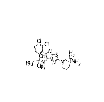 CC(C)(C)CC(C)(C)Nc1c(-c2cccc(Cl)c2Cl)nc2sc(N3CCCC(C)(N)C3)nn12